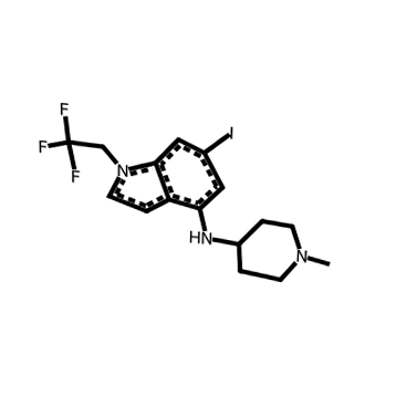 CN1CCC(Nc2cc(I)cc3c2ccn3CC(F)(F)F)CC1